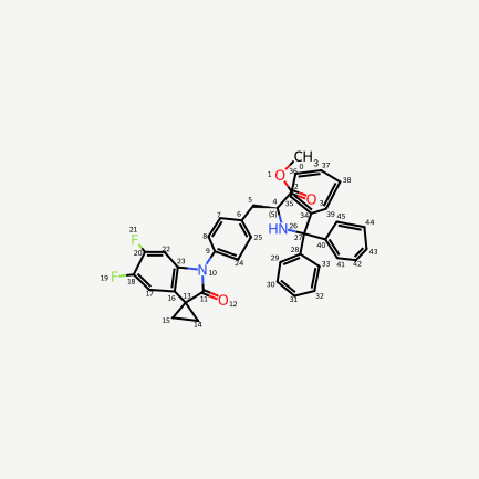 COC(=O)[C@H](Cc1ccc(N2C(=O)C3(CC3)c3cc(F)c(F)cc32)cc1)NC(c1ccccc1)(c1ccccc1)c1ccccc1